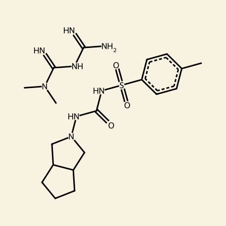 CN(C)C(=N)NC(=N)N.Cc1ccc(S(=O)(=O)NC(=O)NN2CC3CCCC3C2)cc1